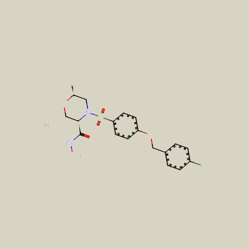 C[C@@H]1O[C@@H](C)CN(S(=O)(=O)c2ccc(OCc3ccc(F)cc3)cc2)[C@H]1C(=O)NO